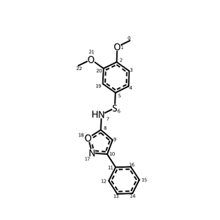 COc1ccc(SNc2cc(-c3ccccc3)no2)cc1OC